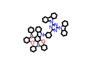 c1ccc(B2c3ccccc3Oc3c2c2c(c4c5ccccc5n(-c5cccc(-c6nc(-n7c8ccccc8c8ccccc87)nc(-n7c8ccccc8c8ccccc87)n6)c5)c34)B(c3ccccc3)c3ccccc3O2)cc1